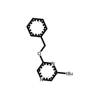 CC(C)(C)c1cncc(OCc2ccccc2)n1